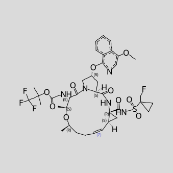 COc1cnc(O[C@@H]2C[C@H]3C(=O)N[C@]4(C(=O)NS(=O)(=O)C5(CF)CC5)C[C@H]4/C=C\CC[C@@H](C)O[C@@H](C)[C@H](NC(=O)OC(C)(C)C(F)(F)F)C(=O)N3C2)c2ccccc12